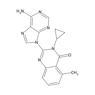 Cc1cccc2nc(-n3cnc4c(N)ncnc43)n(C3CC3)c(=O)c12